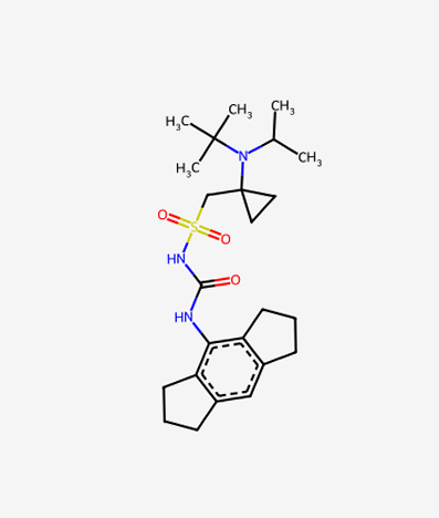 CC(C)N(C(C)(C)C)C1(CS(=O)(=O)NC(=O)Nc2c3c(cc4c2CCC4)CCC3)CC1